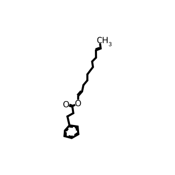 CC=CCCCCCCC=COC(=O)CCc1ccccc1